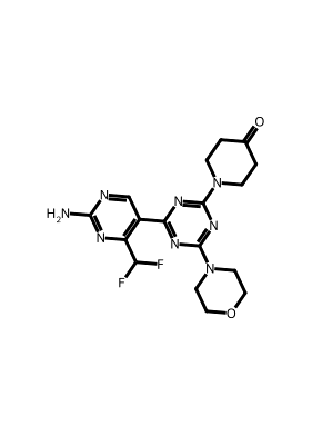 Nc1ncc(-c2nc(N3CCOCC3)nc(N3CCC(=O)CC3)n2)c(C(F)F)n1